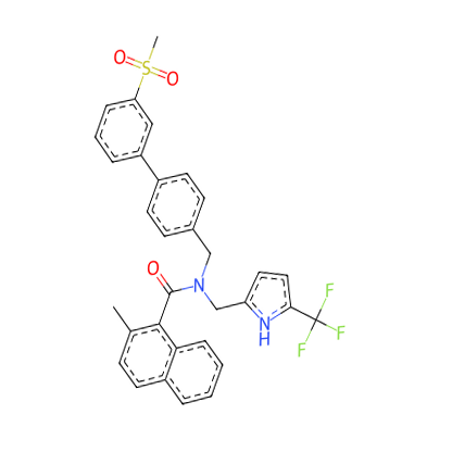 Cc1ccc2ccccc2c1C(=O)N(Cc1ccc(-c2cccc(S(C)(=O)=O)c2)cc1)Cc1ccc(C(F)(F)F)[nH]1